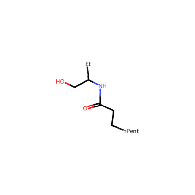 CCCCCCCC(=O)NC(CC)CO